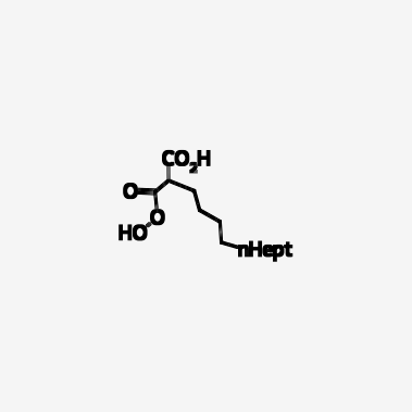 CCCCCCCCCCCC(C(=O)O)C(=O)OO